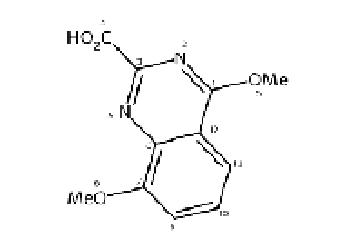 COc1nc(C(=O)O)nc2c(OC)cccc12